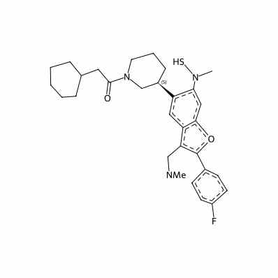 CNCc1c(-c2ccc(F)cc2)oc2cc(N(C)S)c([C@@H]3CCCN(C(=O)CC4CCCCC4)C3)cc12